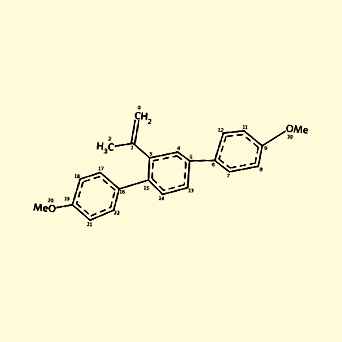 C=C(C)c1cc(-c2ccc(OC)cc2)ccc1-c1ccc(OC)cc1